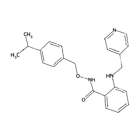 CC(C)c1ccc(CONC(=O)c2ccccc2NCc2ccncc2)cc1